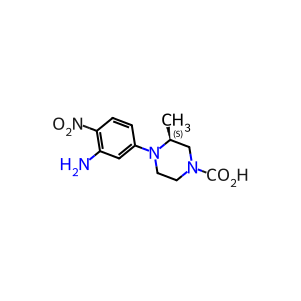 C[C@H]1CN(C(=O)O)CCN1c1ccc([N+](=O)[O-])c(N)c1